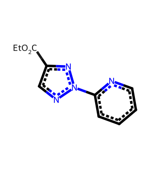 CCOC(=O)c1cnn(-c2ccccn2)n1